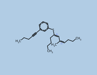 CCCC#Cc1cccc(S/C(=C/C(C)=C\CCC)CCCC)c1